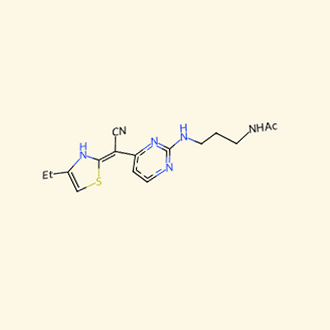 CCC1=CS/C(=C(/C#N)c2ccnc(NCCCNC(C)=O)n2)N1